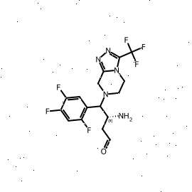 N[C@H](CC=O)C(c1cc(F)c(F)cc1F)N1CCn2c(nnc2C(F)(F)F)C1